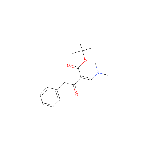 CN(C)C=C(C(=O)Cc1ccccc1)C(=O)OC(C)(C)C